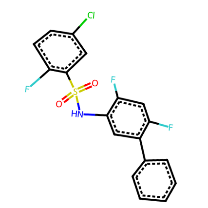 O=S(=O)(Nc1cc(-c2ccccc2)c(F)cc1F)c1cc(Cl)ccc1F